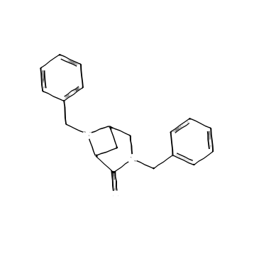 O=C1C2CC(CN1Cc1ccccc1)N2Cc1ccccc1